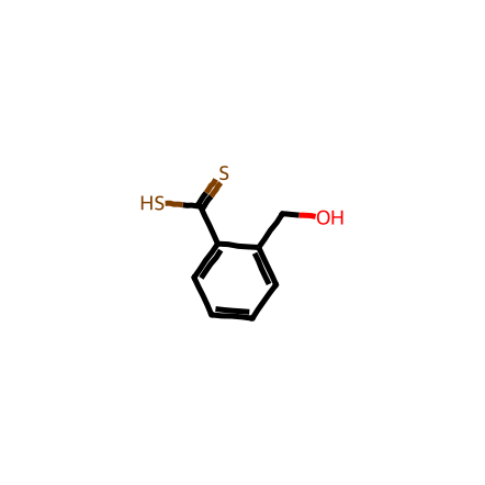 OCc1ccccc1C(=S)S